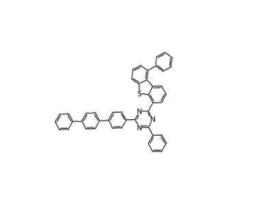 c1ccc(-c2ccc(-c3ccc(-c4nc(-c5ccccc5)nc(-c5cccc6c5sc5cccc(-c7ccccc7)c56)n4)cc3)cc2)cc1